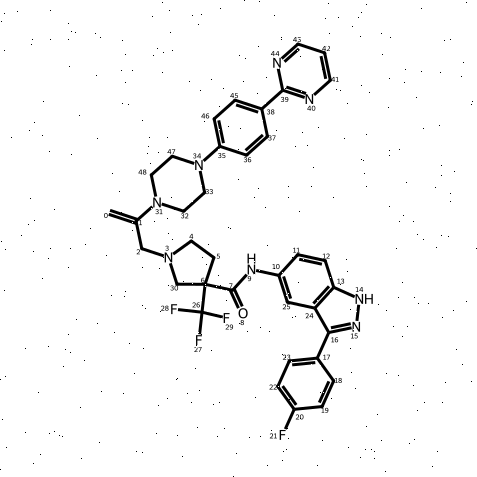 C=C(CN1CCC(C(=O)Nc2ccc3[nH]nc(-c4ccc(F)cc4)c3c2)(C(F)(F)F)C1)N1CCN(c2ccc(-c3ncccn3)cc2)CC1